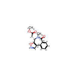 COC(=O)C[C@H]1c2oncc2-c2ccccc2C(=O)N1C